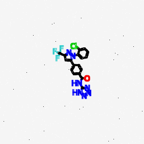 O=C(Nc1nnn[nH]1)c1ccc(-c2cc(C(F)(F)F)nn2-c2ccccc2Cl)cc1